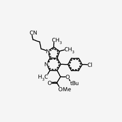 COC(=O)C(OC(C)(C)C)c1c(C)nc2c(c(C)c(C)n2CCCC#N)c1-c1ccc(Cl)cc1